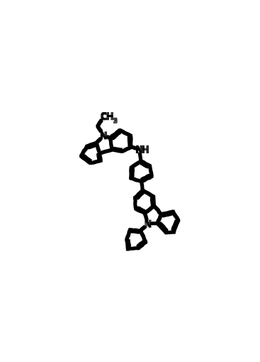 CCn1c2ccccc2c2cc(Nc3ccc(-c4ccc5c(c4)c4ccccc4n5-c4ccccc4)cc3)ccc21